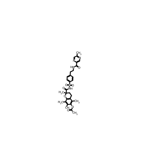 CC(=O)Oc1c(C)c(C)c2c(c1C)CCC(C)(C(=O)NS(=O)(=O)c1ccc(CCNC(=O)c3cnc(C)cn3)cc1)O2